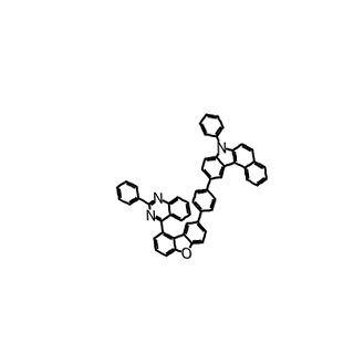 c1ccc(-c2nc(-c3cccc4oc5ccc(-c6ccc(-c7ccc8c(c7)c7c9ccccc9ccc7n8-c7ccccc7)cc6)cc5c34)c3ccccc3n2)cc1